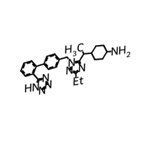 CCc1nc(C(C)C2CCC(N)CC2)n(Cc2ccc(-c3ccccc3-c3nnn[nH]3)cc2)n1